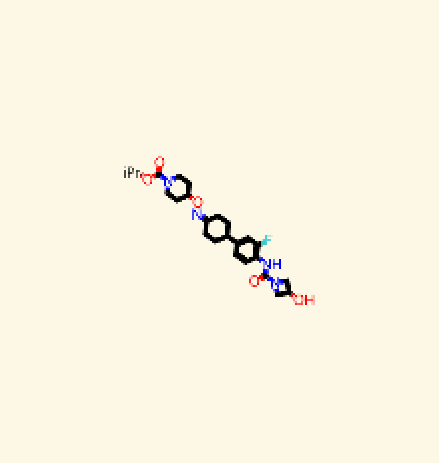 CC(C)OC(=O)N1CCC(ON=C2CCC(c3ccc(NC(=O)N4CC(O)C4)c(F)c3)CC2)CC1